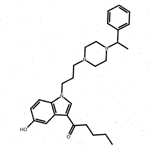 CCCCC(=O)c1cn(CCCN2CCN(C(C)c3ccccc3)CC2)c2ccc(O)cc12